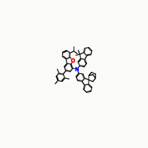 Cc1cc(C)c(-c2cc(N(c3ccc4c(c3)C(C)(C)c3ccccc3-4)c3ccc4c(c3)C3(CC5CCC3C5)c3ccccc3-4)c3oc4c(C(C)C)cccc4c3c2)c(C)c1